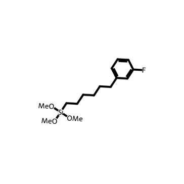 CO[Si](CCCCCCc1cccc(F)c1)(OC)OC